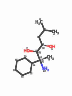 CC(C)C[C@H](O)[C@H](O)[C@@](C)(N)C1CCCCC1